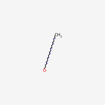 CC/C=C/C/C=C/C/C=C/C/C=C/C/C=C/C/C=C/CCC[O]